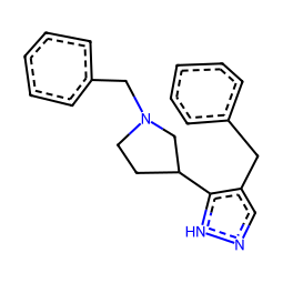 c1ccc(Cc2cn[nH]c2C2CCN(Cc3ccccc3)C2)cc1